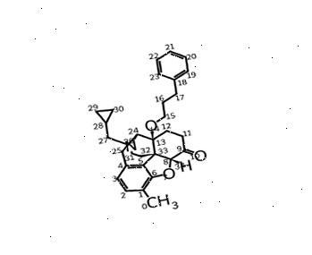 Cc1ccc2c3c1O[C@H]1C(=O)CC[C@@]4(OCCCc5ccccc5)C(C2)N(CC2CC2)CC[C@]314